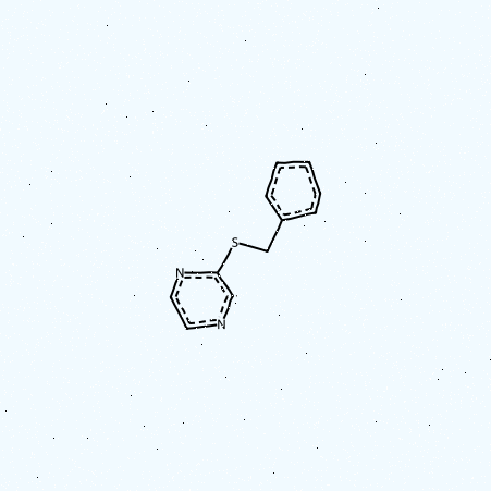 [c]1nccnc1SCc1ccccc1